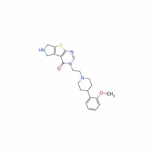 COc1ccccc1C1CCN(CCn2cnc3sc4c(c3c2=O)CNC4)CC1